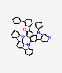 c1ccc(-c2cccc3c2oc2c(-n4c5ccccc5c5ccc6c7ccccc7n(-c7ccc8c(c7)c7ccncc7n8-c7ccccc7)c6c54)cccc23)cc1